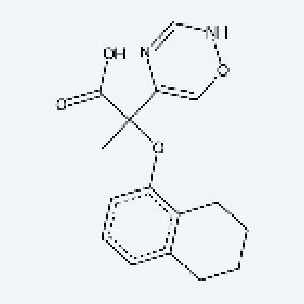 CC(Oc1cccc2c1CCCC2)(C(=O)O)C1=CONC=N1